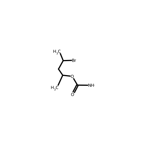 CC(Br)CC(C)OC([NH])=O